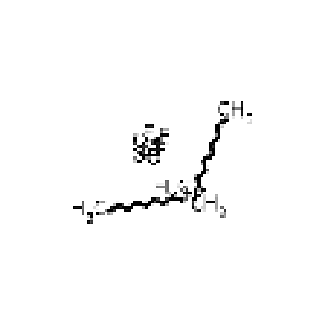 CCCCCCCCCC[N+](C)(C)CCCCCCCCCC.O=S(=O)([O-])C(F)(F)F